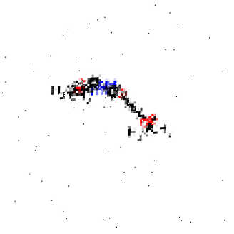 C=C(C)C(=O)OCCCCCCCCOc1ccc(NNc2cccc(CC(=O)OC(C)(C)C)c2)cc1